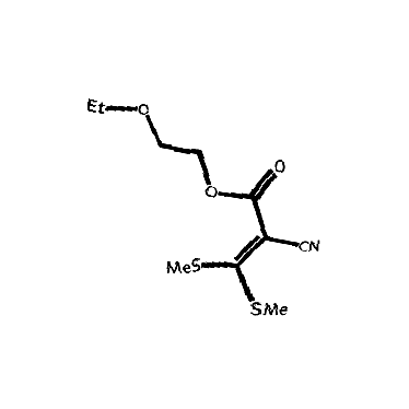 CCOCCOC(=O)C(C#N)=C(SC)SC